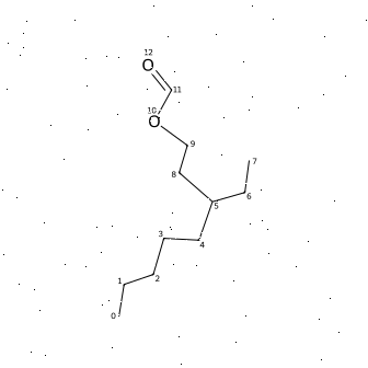 CCCCCC(CC)CCOC=O